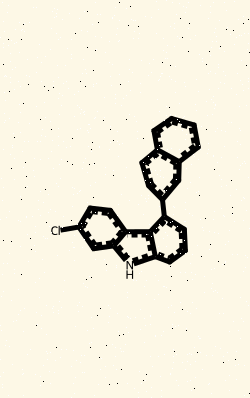 Clc1ccc2c(c1)[nH]c1cccc(-c3ccc4ccccc4c3)c12